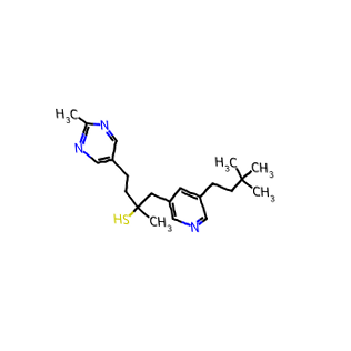 Cc1ncc(CCC(C)(S)Cc2cncc(CCC(C)(C)C)c2)cn1